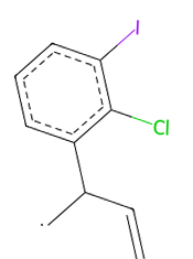 [CH2]C(C=C)c1cccc(I)c1Cl